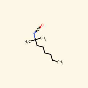 CCCCCCC(C)(C)N=C=O